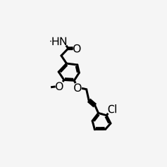 COc1cc(CC([NH])=O)ccc1OCC#Cc1ccccc1Cl